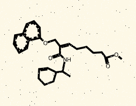 COC(=O)CCCCC=C(COc1cccc2ccccc12)C(=O)NC(C)C1C=CCCC1